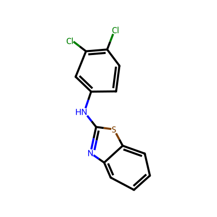 Clc1ccc(Nc2nc3ccccc3s2)cc1Cl